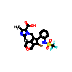 Cc1nc(C)n(Cc2c3ccocc-3c(Br)c2-c2ccccc2NS(=O)(=O)C(F)(F)F)c1C(=O)O